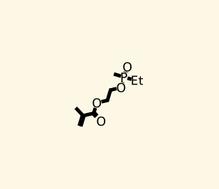 C=C(C)C(=O)OCCOP(C)(=O)CC